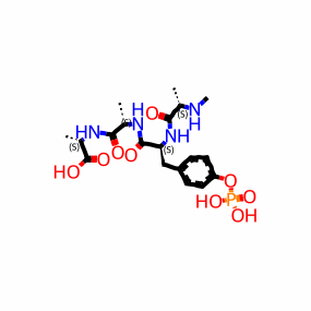 CN[C@@H](C)C(=O)N[C@@H](Cc1ccc(OP(=O)(O)O)cc1)C(=O)N[C@@H](C)C(=O)N[C@@H](C)C(=O)O